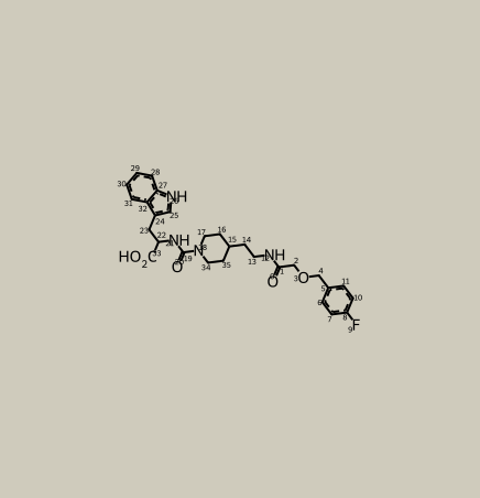 O=C(COCc1ccc(F)cc1)NCCC1CCN(C(=O)NC(Cc2c[nH]c3ccccc23)C(=O)O)CC1